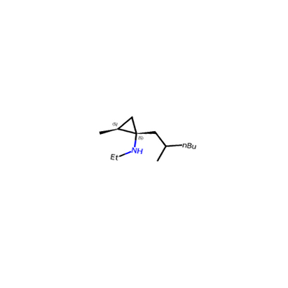 CCCCC(C)C[C@]1(NCC)C[C@@H]1C